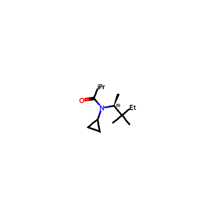 CCC(C)(C)[C@H](C)N(C(=O)C(C)C)C1CC1